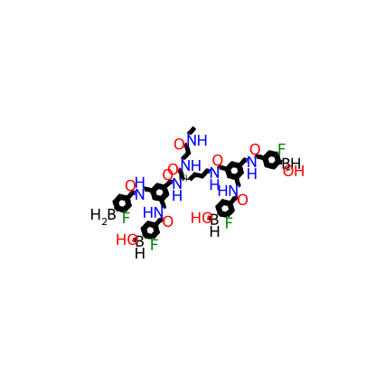 Bc1ccc(C(=O)NCc2cc(CNC(=O)c3ccc(BO)c(F)c3)cc(C(=O)N[C@@H](CCCCNC(=O)c3cc(CNC(=O)c4ccc(BO)c(F)c4)cc(CNC(=O)c4ccc(BO)c(F)c4)c3)C(=O)NCCC(=O)NCC)c2)cc1F